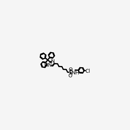 O=S(=O)(CCCCCCc1c[nH]c(C(c2ccccc2)(c2ccccc2)c2ccccc2)n1)NCc1ccc(Cl)cc1